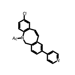 CC(=O)N1Cc2ccc(-c3ccncc3)cc2/C=C\c2cc(Cl)ccc21